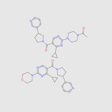 CC(=O)N1CCN(c2ncc(C(=O)N3CCC(c4cccnc4)C3)c(C3CC3)n2)CC1.O=C(c1cnc(N2CCOCC2)nc1C1CC1)N1CCC(c2cccnc2)C1